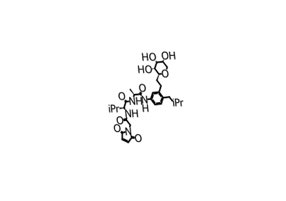 CC(C)Cc1ccc(NC(=O)[C@H](C)NC(=O)[C@@H](NC(=O)CN2C(=O)C=CC2=O)C(C)C)cc1CC[C@@H]1OC[C@@H](O)[C@H](O)[C@H]1O